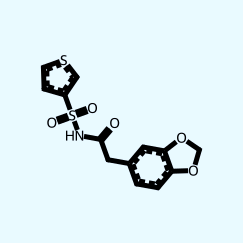 O=C(Cc1ccc2c(c1)OCO2)NS(=O)(=O)c1ccsc1